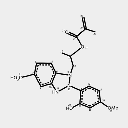 [CH2]C(CN1c2ccc(C(=O)O)cc2NN1c1ccc(OC)cc1O)OC(=O)C(=C)C